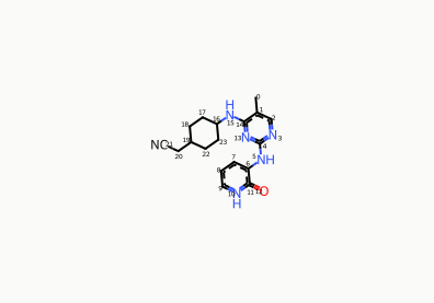 Cc1cnc(Nc2ccc[nH]c2=O)nc1NC1CCC(CC#N)CC1